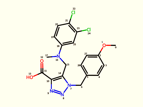 COc1ccc(Cn2nnc(C(=O)O)c2CN(C)c2ccc(Cl)c(Cl)c2)cc1